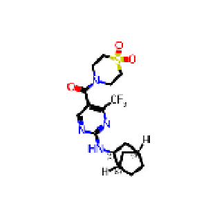 O=C(c1cnc(N[C@H]2C[C@@H]3CC[C@H]2C3)nc1C(F)(F)F)N1CCS(=O)(=O)CC1